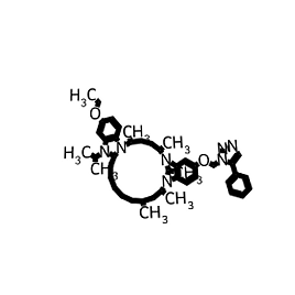 CCOc1ccc2c(c1)N(C(C)C)C1CCCCCC(C)CC(C)N3c4ccc(OCn5nncc5-c5ccccc5)cc4N(C(C)CCC(C)N21)C3C